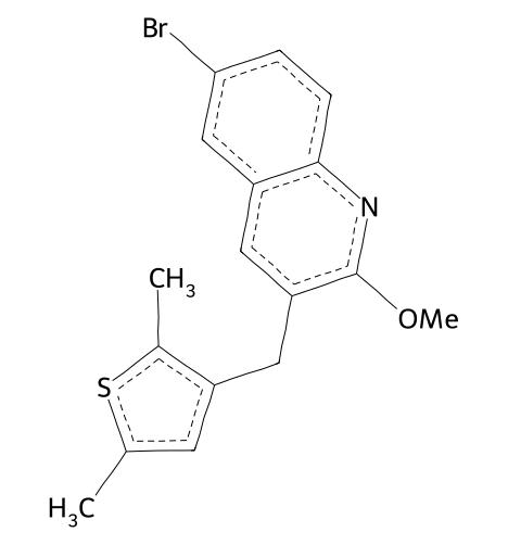 COc1nc2ccc(Br)cc2cc1Cc1cc(C)sc1C